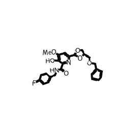 COc1cc(C2OCC(COCc3ccccc3)O2)nc(C(=O)NCc2ccc(F)cc2)c1O